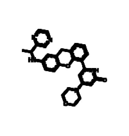 CC(Nc1ccc2c(c1)Cc1cccc(-c3cc(N4CCOCC4)cc(=O)[nH]3)c1O2)c1cnccn1